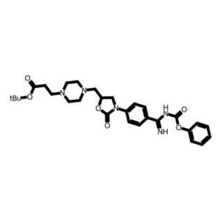 CC(C)(C)OC(=O)CCN1CCN(CC2CN(c3ccc(C(=N)NC(=O)Oc4ccccc4)cc3)C(=O)O2)CC1